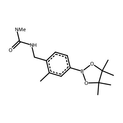 CNC(=O)NCc1ccc(B2OC(C)(C)C(C)(C)O2)cc1C